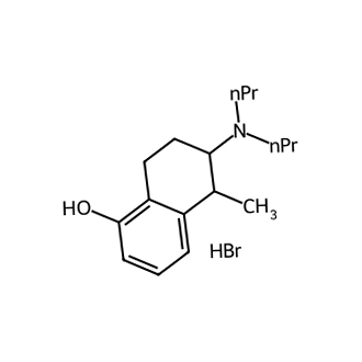 Br.CCCN(CCC)C1CCc2c(O)cccc2C1C